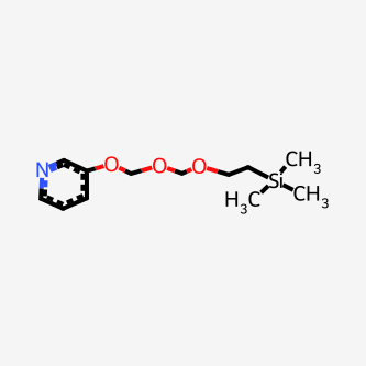 C[Si](C)(C)CCOCOCOc1cccnc1